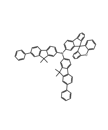 CC1(C)c2cc(-c3ccccc3)ccc2-c2ccc(N(c3ccc4c(c3)C(C)(C)c3cc(-c5ccccc5)ccc3-4)c3ccc4c(c3)C3(c5ccccc5Oc5ccccc53)c3ccccc3-4)cc21